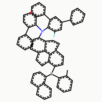 Cc1ccccc1B(c1cccc2ccccc12)c1ccc2ccc3c(N(c4ccccc4-c4ccccc4)c4c(F)cc(-c5ccccc5)cc4-c4ccccc4)ccc4ccc1c2c43